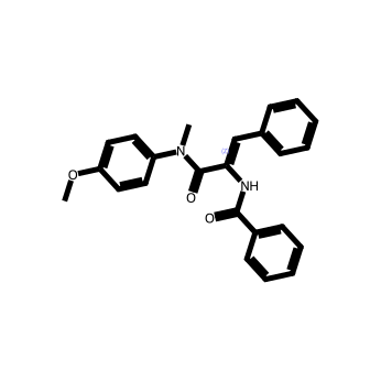 COc1ccc(N(C)C(=O)/C(=C/c2ccccc2)NC(=O)c2ccccc2)cc1